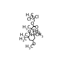 COC1CC(C)(C)N(OC(C)(C)C(=O)OC[Si](C)(Cl)Cl)C(C)(C)C1